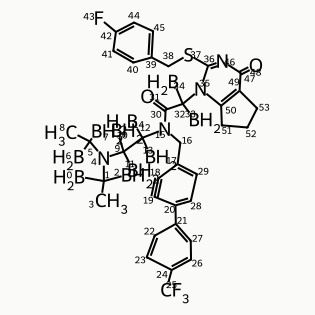 BC(B)(C)N(C(B)(B)C)C(B)(B)C(B)(B)N(Cc1c#cc(-c2ccc(C(F)(F)F)cc2)cc1)C(=O)C(B)(B)n1c(SCc2ccc(F)cc2)nc(=O)c2c1CCC2